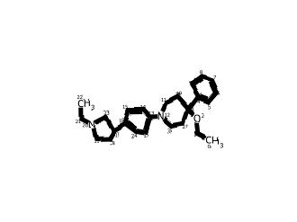 CCOC1(c2ccccc2)CCN(c2ccc(C3CCN(CC)C3)cc2)CC1